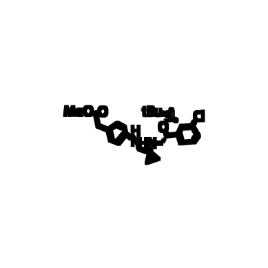 COC(=O)Cc1ccc(NCC2(NC[C@H](O[Si](C)(C)C(C)(C)C)c3cccc(Cl)c3)CC2)cc1